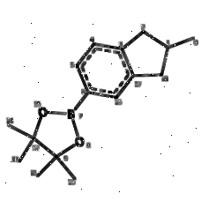 CC1Cc2ccc(B3OC(C)(C)C(C)(C)O3)cc2C1